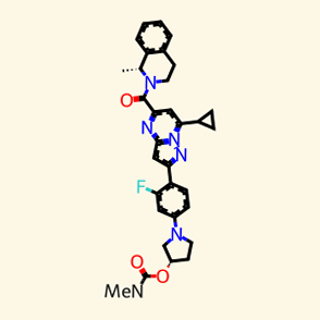 CNC(=O)O[C@H]1CCN(c2ccc(-c3cc4nc(C(=O)N5CCc6ccccc6[C@H]5C)cc(C5CC5)n4n3)c(F)c2)C1